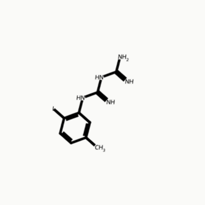 Cc1ccc(I)c(NC(=N)NC(=N)N)c1